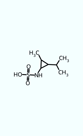 CC(C)C1C(C)C1NS(=O)(=O)O